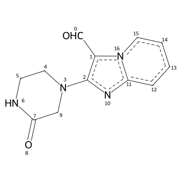 O=Cc1c(N2CCNC(=O)C2)nc2ccccn12